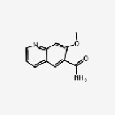 COc1cc2ncccc2cc1C(N)=O